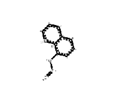 O=POc1cccc2cccnc12